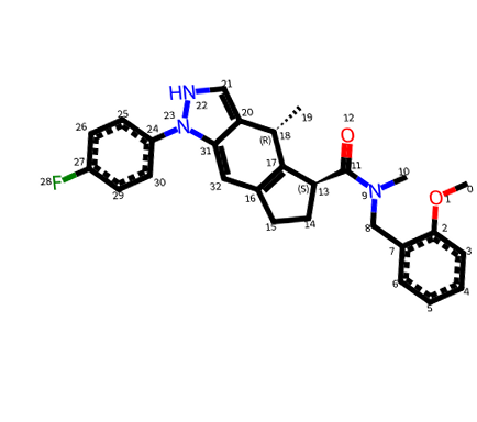 COc1ccccc1CN(C)C(=O)[C@H]1CCC2=C1[C@@H](C)C1=CNN(c3ccc(F)cc3)C1=C2